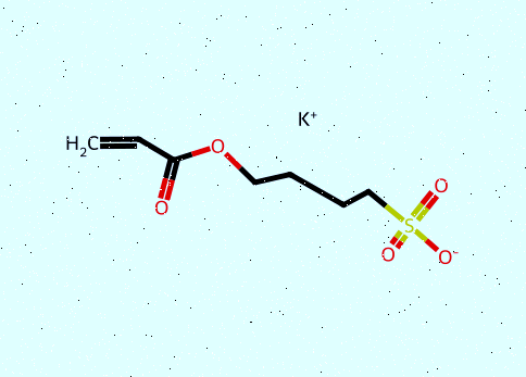 C=CC(=O)OCCCCS(=O)(=O)[O-].[K+]